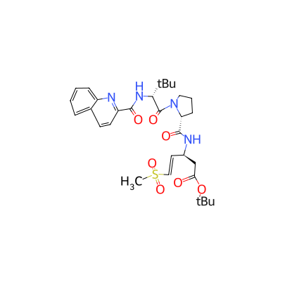 CC(C)(C)OC(=O)C[C@@H](/C=C/S(C)(=O)=O)NC(=O)[C@H]1CCCN1C(=O)[C@H](NC(=O)c1ccc2ccccc2n1)C(C)(C)C